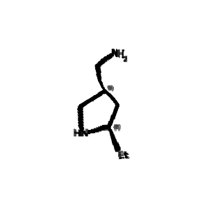 CC[C@@H]1C[C@H](CN)CN1